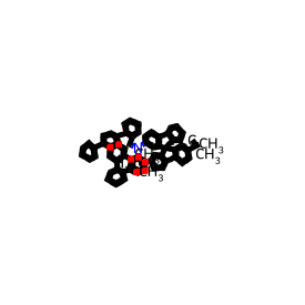 CC(C)(C)c1ccc2c(c1)C1(c3ccccc3-c3ccc(N(Cc4ccccc4-c4ccc(-c5ccccc5)cc4)c4ccccc4-c4ccccc4-c4ccccc4-c4ccccc4)cc31)c1cc(C(C)(C)C)ccc1-2